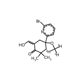 [2H]C([2H])([2H])OC1(c2cccc(Br)n2)C/C(=C/O)C(=O)C(C)(C)C1